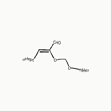 CCCCCCCC=C(C=O)OCOCCCCCC